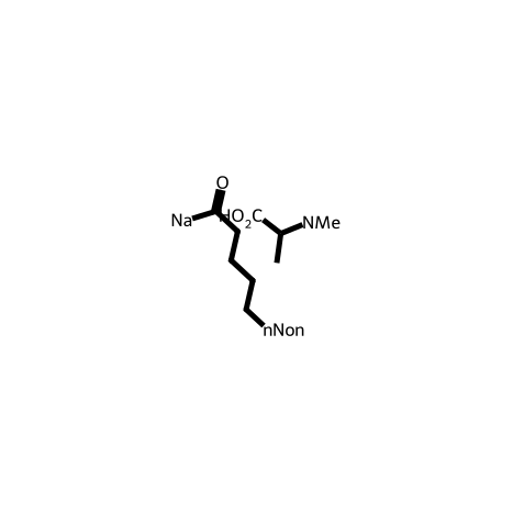 CCCCCCCCCCCCC[C](=O)[Na].CNC(C)C(=O)O